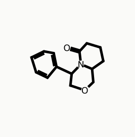 O=C1CCCC2COCC(c3ccccc3)N12